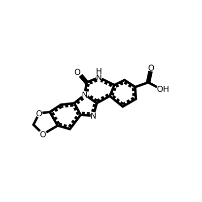 O=C(O)c1ccc2c(c1)[nH]c(=O)n1c3cc4c(cc3nc21)OCO4